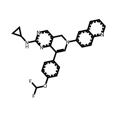 FC(F)Oc1ccc(C2=CN(c3ccc4ncccc4c3)Cc3cnc(NC4CC4)nc32)cc1